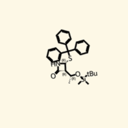 C[C@@H](O[Si](C)(C)C(C)(C)C)[C@@H]1C(=O)N[C@@H]1SC(c1ccccc1)(c1ccccc1)c1ccccc1